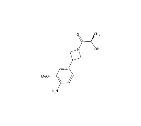 COc1cc(C2CN(C(=O)[C@@H](C)O)C2)ccc1N